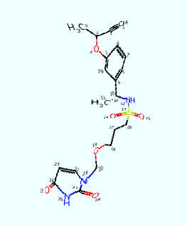 C#CC(C)Oc1cccc([C@@H](C)NS(=O)(=O)CCCOCn2ccc(=O)[nH]c2=O)c1